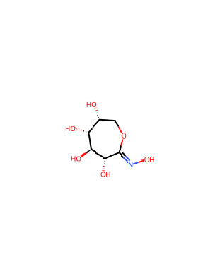 ON=C1OC[C@@H](O)[C@@H](O)[C@H](O)[C@H]1O